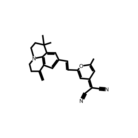 C=C1CCN2CCC(C)(C)c3cc(/C=C/C4=CC(=C(C#N)C#N)C=C(C)O4)cc1c32